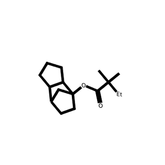 CCC(C)(C)C(=O)OC12CCC(C1)C1CCCC12